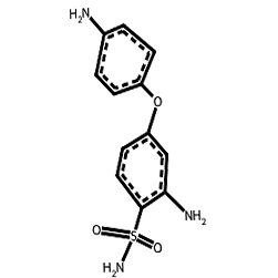 Nc1ccc(Oc2ccc(S(N)(=O)=O)c(N)c2)cc1